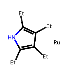 CCc1[nH]c(CC)c(CC)c1CC.[Ru]